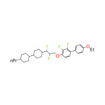 CCCC1CCC(C2CCC(C(F)C(F)COc3ccc(-c4ccc(OCC)cc4)c(F)c3F)CC2)CC1